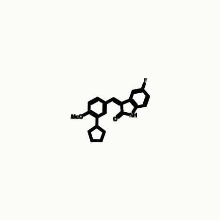 COc1ccc(C=C2C(=O)Nc3ccc(F)cc32)cc1C1CCCC1